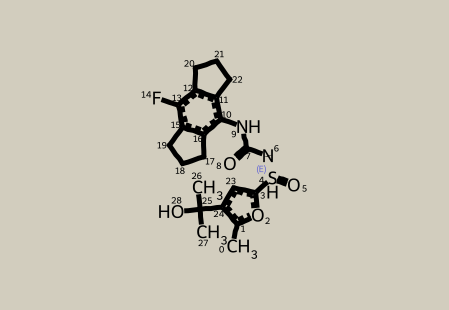 Cc1oc(/[SH](=O)=N\C(=O)Nc2c3c(c(F)c4c2CCC4)CCC3)cc1C(C)(C)O